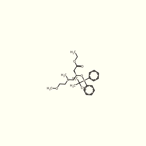 CCOC(=O)C[C@H](CN(C)CCOC)O[Si](c1ccccc1)(c1ccccc1)C(C)(C)C